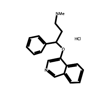 CNCCC(Oc1cncc2ccccc12)c1ccccc1.Cl